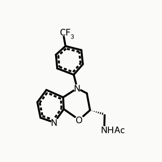 CC(=O)NC[C@H]1CN(c2ccc(C(F)(F)F)cc2)c2cccnc2O1